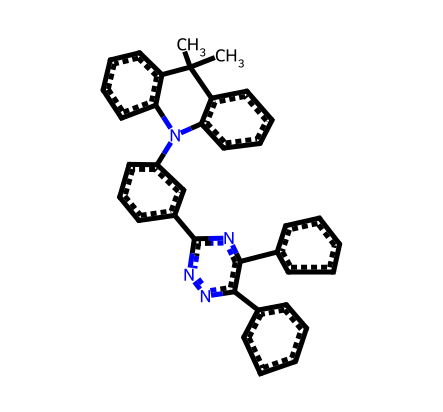 CC1(C)c2ccccc2N(c2cccc(-c3nnc(-c4ccccc4)c(-c4ccccc4)n3)c2)c2ccccc21